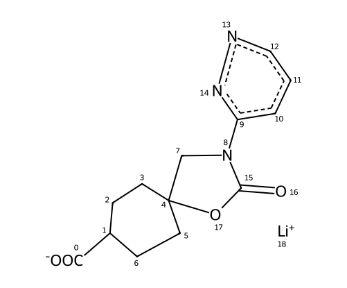 O=C([O-])C1CCC2(CC1)CN(c1cccnn1)C(=O)O2.[Li+]